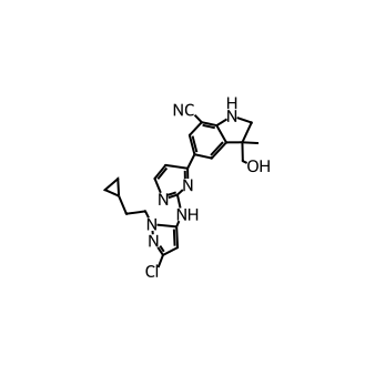 CC1(CO)CNc2c(C#N)cc(-c3ccnc(Nc4cc(Cl)nn4CCC4CC4)n3)cc21